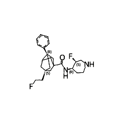 O=C(N[C@@H]1CCNC[C@@H]1F)C12CC3C[C@@](CCF)(C1)C[C@@]3(c1ccccc1)C2